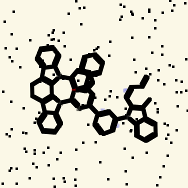 C=C/C=C\c1c(C)c2ccccc2n1C(/C=C(\C=C)c1cc(-c2ccccc2)nc(-n2c3c(c4ccccc42)CCc2c-3n(-c3ccccc3)c3ccccc23)n1)=C/C